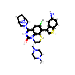 CCN1CCN(C[C@H]2CSc3c(-c4csc5ccc(N)cc45)c(Cl)cc4c(N5CC6CCC(C5)N6)nc(=O)n2c34)CC1